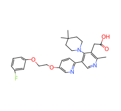 Cc1ncc(-c2ccc(OCCOc3cccc(F)c3)cn2)c(N2CCC(C)(C)CC2)c1CC(=O)O